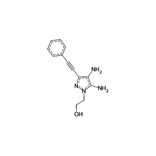 Nc1c(C#Cc2ccccc2)nn(CCO)c1N